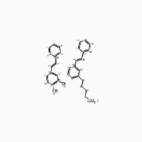 O=C(O)CCCCc1cccc(C=Cc2ccccc2)c1.Oc1ccc(C=Cc2ccccc2)cc1O